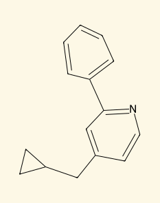 c1ccc(-c2cc(CC3CC3)ccn2)cc1